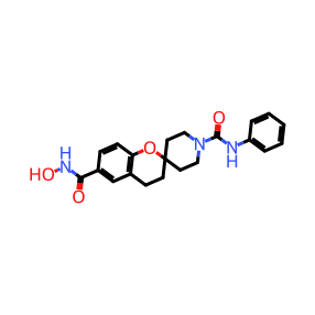 O=C(NO)c1ccc2c(c1)CCC1(CCN(C(=O)Nc3ccccc3)CC1)O2